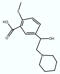 CSc1ccc(C(O)CN2CCCCC2)cc1C(=O)O